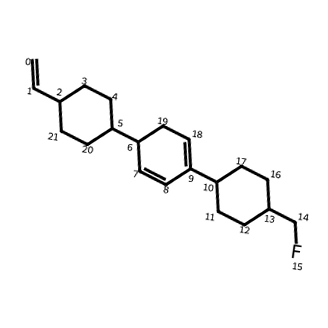 C=CC1CCC(C2C=CC(C3CCC(CF)CC3)=CC2)CC1